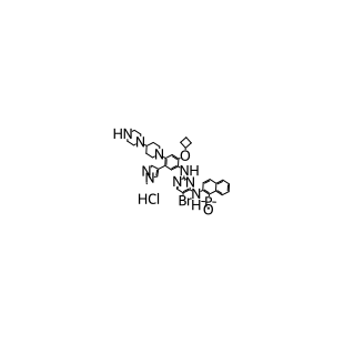 Cl.Cn1cc(-c2cc(Nc3ncc(Br)c(Nc4ccc5ccccc5c4P(C)(C)=O)n3)c(OC3CCC3)cc2N2CCC(N3CCNCC3)CC2)cn1